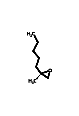 CCCCC[C@]1(C)CO1